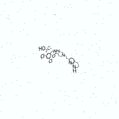 O=C(O)C[C@H](NC(=O)C1CCN(CCc2ccc3c(n2)NCCC3)CC1)c1cc(Cl)cc(Cl)c1